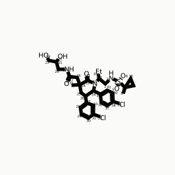 CCC(CNS(=O)(=O)C1(C)CC1)N1C(=O)C(C)(CC(=O)NCC(O)CO)CC(c2cccc(Cl)c2)C1c1ccc(Cl)cc1